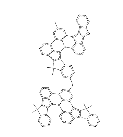 Cc1cc2c3c(c1)-n1c4c(cccc4c4oc5ccccc5c41)B3n1c3c(c4cccc-2c41)C(C)(C)c1cc(Cc2cc4c5c(c2)-n2c6c(c7cccc(c72)B5n2c5c(c7cccc-4c72)C(C)(C)c2ccccc2-5)-c2ccccc2C6(C)C)ccc1-3